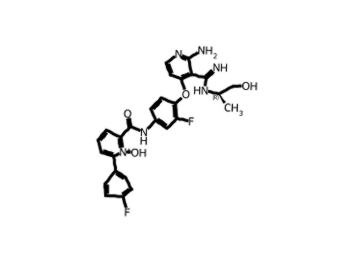 C[C@H](CO)NC(=N)c1c(Oc2ccc(NC(=O)c3cccc(-c4ccc(F)cc4)[n+]3O)cc2F)ccnc1N